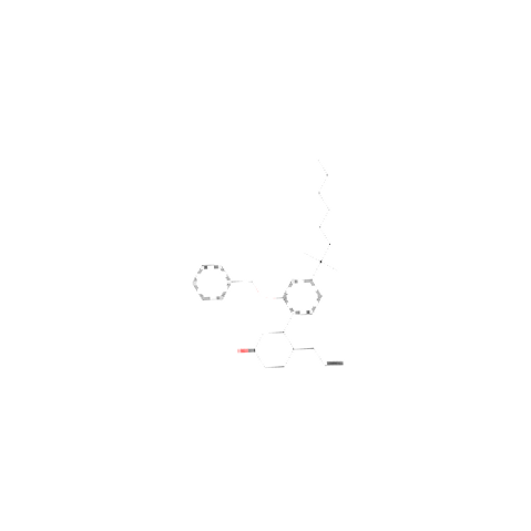 C=CCC1CCC(=O)CC1c1ccc(C(C)(C)CCCCCC)cc1OCc1ccccc1